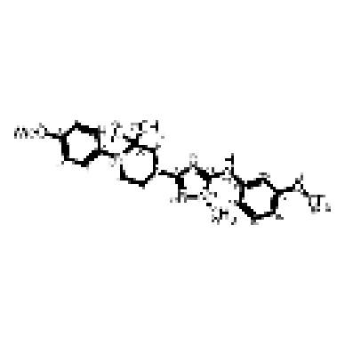 COc1ccc(N2CCN(c3nc(Nc4cccc(OC(F)(F)F)c4)n(C)n3)CC2(C)C)cc1